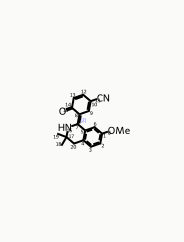 COc1ccc2c(c1)/C(=C1\C=C(C#N)C=CC1=O)NC(C)(C)C2